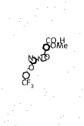 COc1cc(C2CN(c3cncc(OC[C@H]4CC[C@H](C(F)(F)F)CC4)c3)CCO2)ccc1C(=O)O